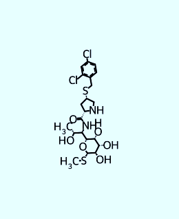 CS[C@H]1O[C@H]([C@H](NC(=O)[C@@H]2C[C@H](SCc3ccc(Cl)cc3Cl)CN2)[C@@H](C)O)[C@H](O)[C@H](O)[C@H]1O